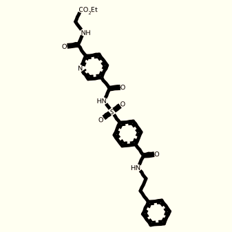 CCOC(=O)CNC(=O)c1ccc(C(=O)NS(=O)(=O)c2ccc(C(=O)NCCc3ccccc3)cc2)cn1